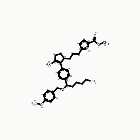 CCCCCC(OCc1ccc(OC)cc1)c1ccc(C2=C(C)CCC2CCCc2ccc(C(=O)OC)s2)cc1